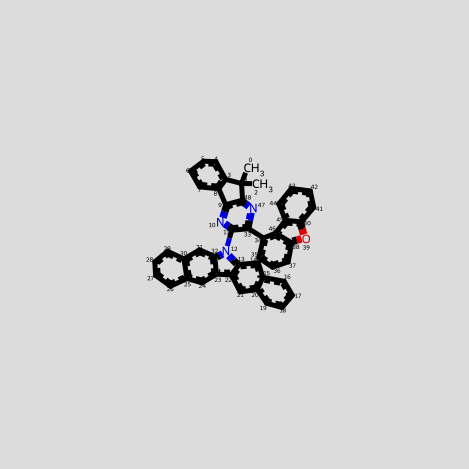 CC1(C)c2ccccc2-c2nc(-n3c4cc5ccccc5cc4c4cc5ccccc5cc43)c(-c3cccc4oc5ccccc5c34)nc21